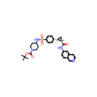 CC(C)(C)OC(=O)N1CCC(NS(=O)(=O)c2ccc([C@@H]3C[C@H]3C(=O)Nc3ccc4cnccc4c3)cc2)CC1